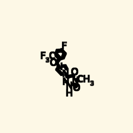 Cn1c(=O)[nH]nc(N2CCN(C(=O)c3ccc(F)cc3C(F)(F)F)CC2)c1=O